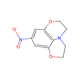 O=[N+]([O-])c1cc2c3c(c1)OCCN3CCO2